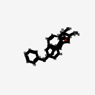 CN1CC2=CC(Cl)=CN=C[C@]23C(C2CCC(Oc4ccncn4)CC2)=NNC[C@@H]13